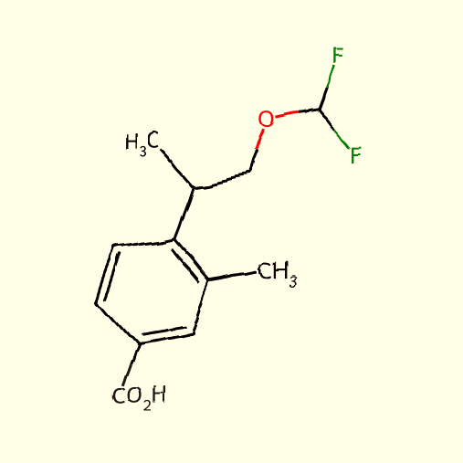 Cc1cc(C(=O)O)ccc1C(C)COC(F)F